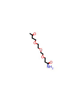 CC(=O)CCOCCOCCOCCC(N)=O